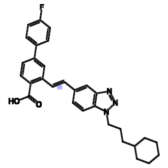 O=C(O)c1ccc(-c2ccc(F)cc2)cc1/C=C/c1ccc2c(c1)nnn2CCCC1CCCCC1